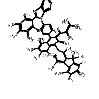 B=c1c(C/C(B)=C2\C(=C(\B)C#C)c3c(B)c(B)c(B)c(O)c3C2(C)C)c2c(B)c(B)c(B)c(B)c2c(-c2ccc(-n3c(-c4c(B)c(B)c(B)c(B)c4B)nc4ccccc43)cc2)/c1=C(B)/C(B)=C(/B)C